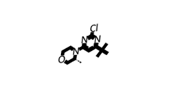 C[C@@H]1COCCN1c1cc(C(C)(C)C)nc(Cl)n1